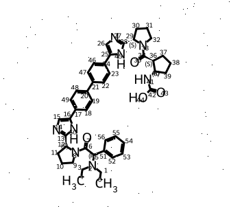 CCN(CC)[C@@H](C(=O)N1CCC[C@H]1c1ncc(-c2ccc(-c3ccc(-c4cnc([C@@H]5CCCN5C(=O)[C@H]5CCC[C@@H]5NC(=O)O)[nH]4)cc3)cc2)[nH]1)c1ccccc1